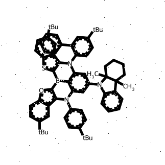 CC(C)(C)c1ccc(N2c3cc(N4c5ccccc5C5(C)CCCCC45C)cc4c3B(c3oc5ccc(C(C)(C)C)cc5c32)c2sc3ccc(C(C)(C)C)cc3c2N4c2ccc(C(C)(C)C)cc2-c2ccccc2)cc1